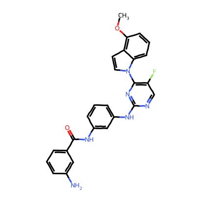 COc1cccc2c1ccn2-c1nc(Nc2cccc(NC(=O)c3cccc(N)c3)c2)ncc1F